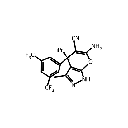 Cc1n[nH]c2c1[C@@](c1cc(C(F)(F)F)cc(C(F)(F)F)c1)(C(C)C)C(C#N)=C(N)O2